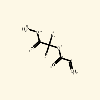 C=CC(=O)OC(CC)(CC)C(=O)OP